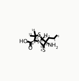 CCC[C@]1(N)C(=S)N2[C@@H](C(=O)O)C(C)(C)S[C@@H]21